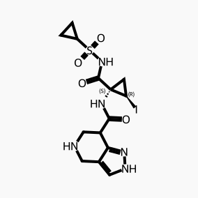 O=C(N[C@]1(C(=O)NS(=O)(=O)C2CC2)C[C@H]1I)C1CNCc2c[nH]nc21